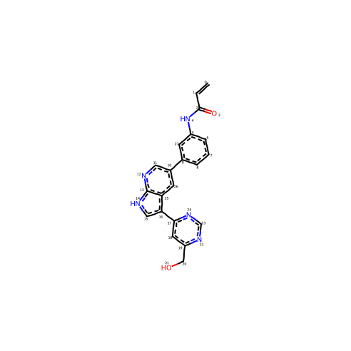 C=CC(=O)Nc1cccc(-c2cnc3[nH]cc(-c4cc(CO)ncn4)c3c2)c1